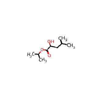 CC(C)CC(O)C(=O)OC(C)C